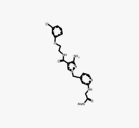 CNC(=O)CNc1cc(Cn2cc(C(=O)NCCOc3cccc(Cl)c3)c(N)n2)ccn1